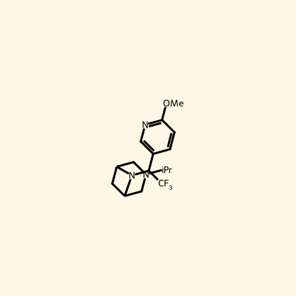 COc1ccc(C(N2C3CC2CN(C(C)C)C3)C(F)(F)F)cn1